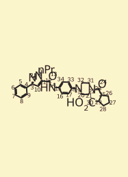 CCCn1nc(-c2ccccc2)cc1C(=O)Nc1ccc(N2CCN(C(=O)C3CCCC3C(=O)O)CC2)cc1